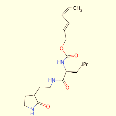 C/C=C\C=C\COC(=O)N[C@@H](CC(C)C)C(=O)NCCC1CCNC1=O